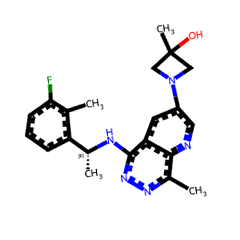 Cc1c(F)cccc1[C@@H](C)Nc1nnc(C)c2ncc(N3CC(C)(O)C3)cc12